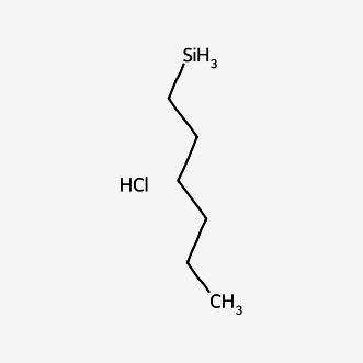 CCCCCC[SiH3].Cl